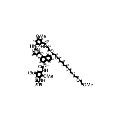 COCCOCCOCCOCCCCCOCCOCCNC(=O)c1cc(Nc2nccc(Oc3ccc(NC(=O)Nc4cc(C(C)(C)C)cc(NS(C)(=O)=O)c4OC)c4ccccc34)n2)cc(OC)c1